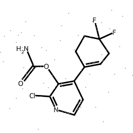 NC(=O)Oc1c(C2=CCC(F)(F)CC2)ccnc1Cl